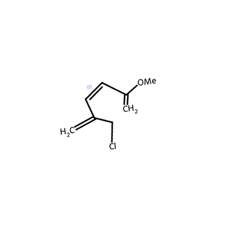 C=C(/C=C\C(=C)OC)CCl